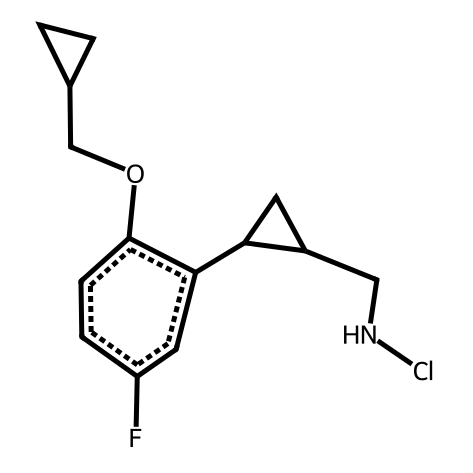 Fc1ccc(OCC2CC2)c(C2CC2CNCl)c1